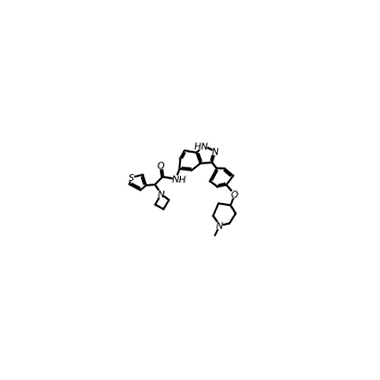 CN1CCC(Oc2ccc(-c3n[nH]c4ccc(NC(=O)C(c5ccsc5)N5CCC5)cc34)cc2)CC1